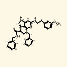 COc1cccc(CCNc2nc3c4c(n[nH]c4n2)C(C(=O)NCc2ccccc2)CN3Cc2ccccc2)c1